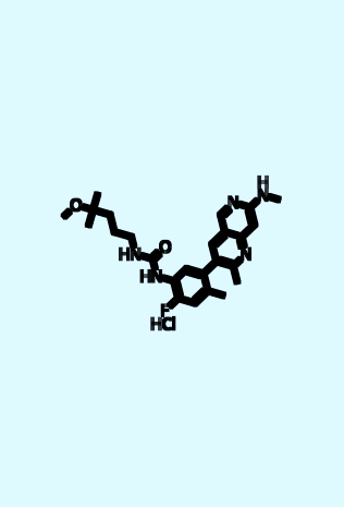 CNc1cc2nc(C)c(-c3cc(NC(=O)NCCCC(C)(C)OC)c(F)cc3C)cc2cn1.Cl